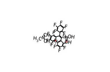 CN(C)C.OB(O)OC(=C(c1c(F)c(F)c(F)c(F)c1F)c1c(F)c(F)c(F)c(F)c1F)c1c(F)c(F)c(F)c(F)c1F